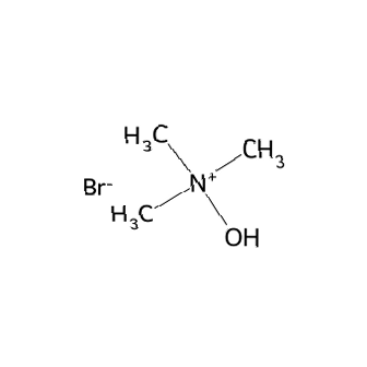 C[N+](C)(C)O.[Br-]